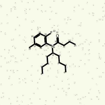 CCCCC(CCCC)N(C(=O)CCC)c1cc(C)ccc1F